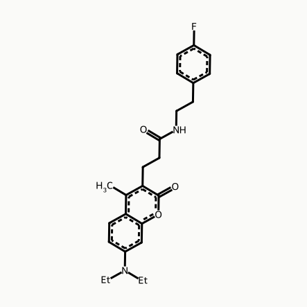 CCN(CC)c1ccc2c(C)c(CCC(=O)NCCc3ccc(F)cc3)c(=O)oc2c1